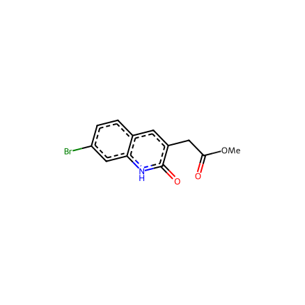 COC(=O)Cc1cc2ccc(Br)cc2[nH]c1=O